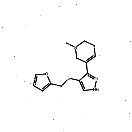 CN1CCC=C(c2n[nH]cc2SCc2ccco2)C1